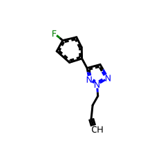 C#CCCn1ncc(-c2ccc(F)cc2)n1